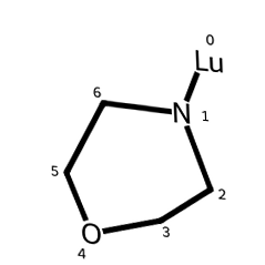 [Lu][N]1CCOCC1